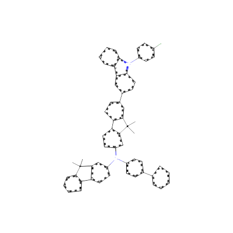 CC1(C)c2ccccc2-c2ccc(N(c3ccc(-c4ccccc4)cc3)c3ccc4c(c3)C(C)(C)c3cc(-c5ccc6c(c5)c5ccccc5n6-c5ccc(F)cc5)ccc3-4)cc21